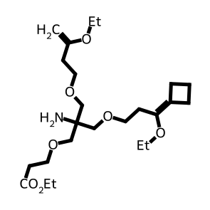 C=C(CCOCC(N)(COCCC(=O)OCC)COCCC(OCC)=C1CCC1)OCC